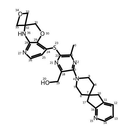 Cc1nc(N2CCC3(CC2)Cc2cccnc2C3)c(CO)nc1Sc1ccnc2c1OCC1(COC1)N2